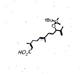 C=C(C)C(CC/C(C)=C/CCC(C)=CC(=O)O)O[Si](C)(C)C(C)(C)C